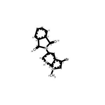 Cn1cc(Br)c2cc(N3C(=O)c4ccccc4C3=O)cnc21